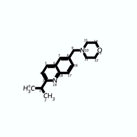 CC(C)c1ccc2cc(CN3CCOCC3)ccc2n1